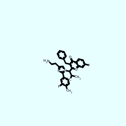 Cc1ccc(-c2nc(CCN)cn2C(c2oc3cc(F)ccc3c(=O)c2Cc2ccccc2)C(C)C)cc1F